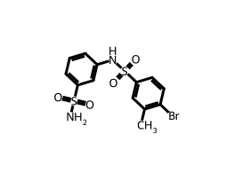 Cc1cc(S(=O)(=O)Nc2cccc(S(N)(=O)=O)c2)ccc1Br